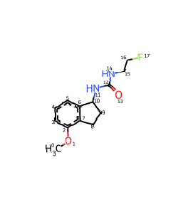 COc1cccc2c1CCC2NC(=O)NCCF